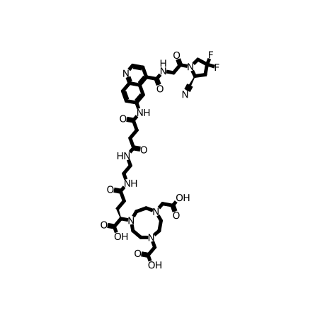 N#C[C@@H]1CC(F)(F)CN1C(=O)CNC(=O)c1ccnc2ccc(NC(=O)CCC(=O)NCCNC(=O)CC[C@H](C(=O)O)N3CCN(CC(=O)O)CCN(CC(=O)O)CC3)cc12